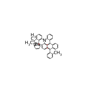 Cc1ccccc1-c1ccc(-c2ccccc2N(c2ccccc2C(C)(C)C)c2cccc3c2-c2ccccc2C3(C)C)c2ccccc12